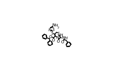 Nc1cnc(SC2=C(C(=O)OC(c3ccccc3)c3ccccc3)N3C(=O)[C@@H](NC(=O)Cc4ccccc4)[C@@H]3SC2)s1